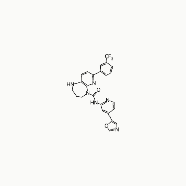 O=C(Nc1cc(-c2cnco2)ccn1)N1CCCNc2ccc(-c3cccc(C(F)(F)F)c3)nc21